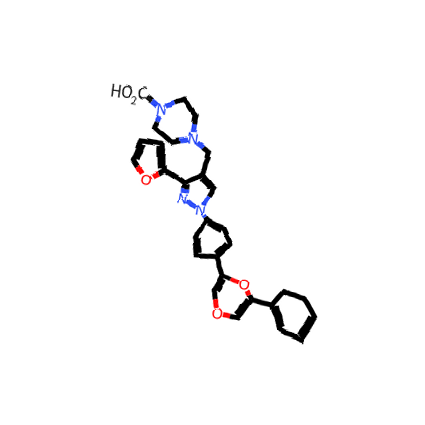 O=C(O)N1CCN(Cc2cn(-c3ccc(C4=COC=C(C5=CC=CCC5)O4)cc3)nc2-c2ccco2)CC1